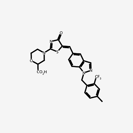 Cc1ccc(Cn2ncc3cc(/C=C4\SC(N5CCOC(C(=O)O)C5)=NC4=O)ccc32)c(C(F)(F)F)c1